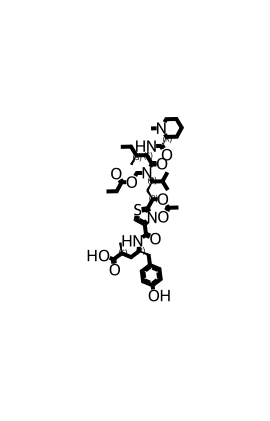 CCC(=O)OCN(C(=O)[C@@H](NC(=O)[C@H]1CCCCN1C)[C@@H](C)CC)[C@H](C[C@@H](OC(C)=O)c1nc(C(=O)N[C@@H](Cc2ccc(O)cc2)C[C@H](C)C(=O)O)cs1)C(C)C